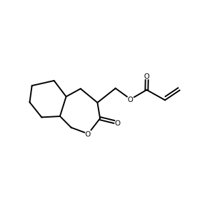 C=CC(=O)OCC1CC2CCCCC2COC1=O